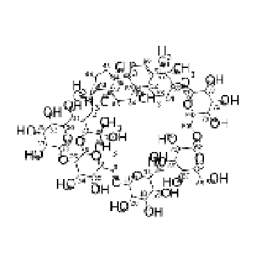 C[C@H](CCC(OC1OC(COC2OC(CO)C(O)C(O)C2O)C(O)C(O)C1OC1OC(CO)C(O)C(O)C1O)C(C)(C)O)[C@H]1CC[C@@]2(C)C3CC=C4C(CC[C@H](OC5OC(COC6OC(CO)C(O)C(O)C6O)C(O)C(O)C5O)C4(C)C)[C@]3(C)CC[C@]12C